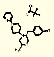 C[C@H]1CN(C2CCN(c3ccccn3)CC2)[C@@H](Cc2ccc(Cl)cc2)CO1.O=C(O)C(F)(F)F